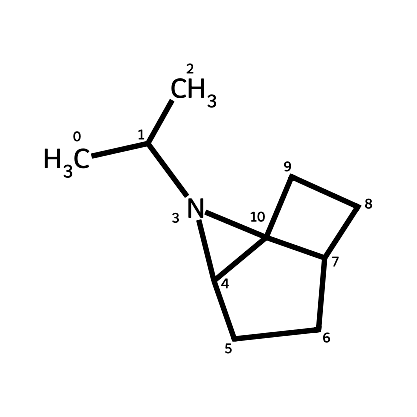 CC(C)N1C2CCC3CCC321